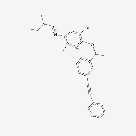 CCN(C)/C=N/c1cc(Br)c(OC(C)c2cccc(C#Cc3ccccc3)c2)nc1C